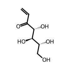 C=CC(=O)[C@H](O)[C@H](O)[C@H](O)CO